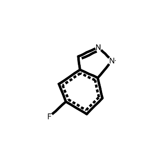 Fc1ccc2c(c1)C=N[N]2